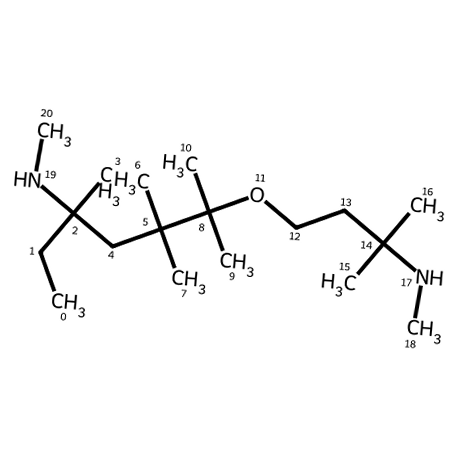 CCC(C)(CC(C)(C)C(C)(C)OCCC(C)(C)NC)NC